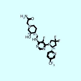 NC(=O)CN1CC[C@H](CNc2ncnc(N3CC(F)(F)C[C@@H]3c3ccc(C(F)(F)F)cn3)c2F)[C@@H](O)C1